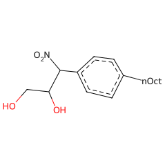 CCCCCCCCc1ccc(C(C(O)CO)[N+](=O)[O-])cc1